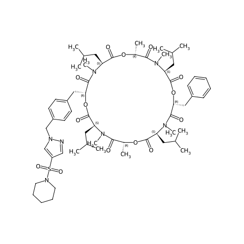 CC(C)C[C@H]1C(=O)O[C@H](Cc2ccc(Cn3cc(S(=O)(=O)N4CCCCC4)cn3)cc2)C(=O)N(C)[C@@H](CC(C)C)C(=O)O[C@H](C)C(=O)N(C)[C@@H](CC(C)C)C(=O)O[C@H](Cc2ccccc2)C(=O)N(C)[C@@H](CC(C)C)C(=O)O[C@H](C)C(=O)N1C